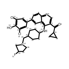 O=C(c1cnc2ccc(-c3cc(Cl)c(O)c(Cl)c3)cc2c1NC1CCC(CN2CCC(F)C2)CC1)C1CC1